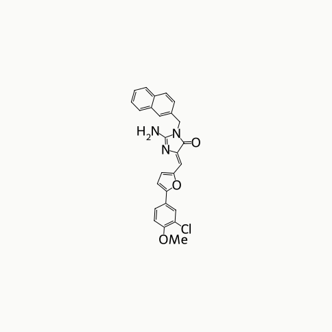 COc1ccc(-c2ccc(C=C3N=C(N)N(Cc4ccc5ccccc5c4)C3=O)o2)cc1Cl